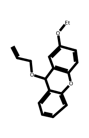 C=CCOC1c2ccccc2Oc2ccc(OCC)cc21